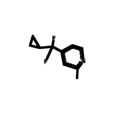 Cc1cc(C(F)(F)C2CC2)ccn1